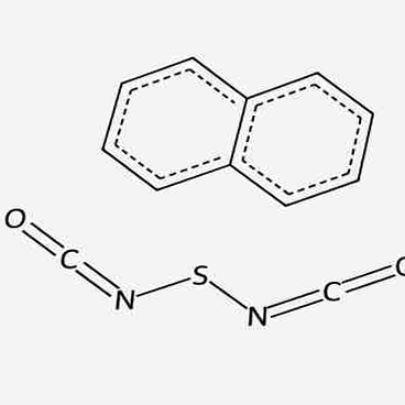 O=C=NSN=C=O.c1ccc2ccccc2c1